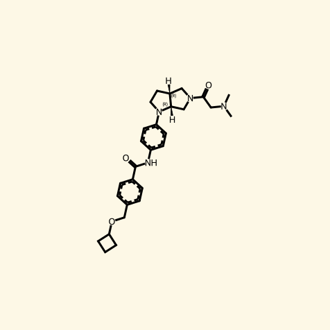 CN(C)CC(=O)N1C[C@H]2CCN(c3ccc(NC(=O)c4ccc(COC5CCC5)cc4)cc3)[C@H]2C1